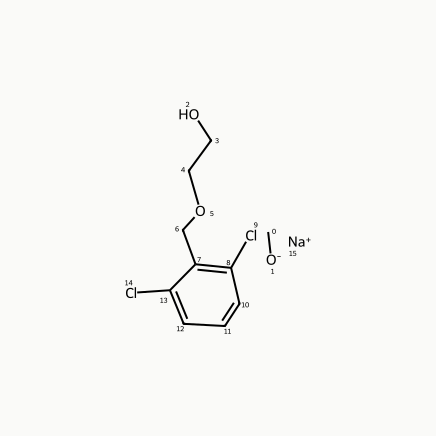 C[O-].OCCOCc1c(Cl)cccc1Cl.[Na+]